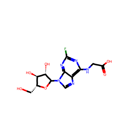 O=C(O)CNc1nc(F)nc2c1ncn2C1O[C@H](CO)[C@@H](O)[C@@H]1O